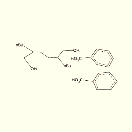 CCCCC(CO)CCC(CO)CCCC.O=C(O)c1ccccc1.O=C(O)c1ccccc1